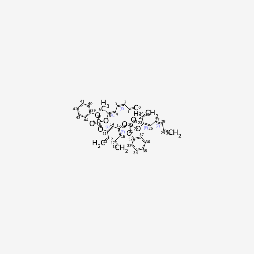 C=C/C=C\C=C(/C)OP(=O)(O/C(C=C)=C/C(=C\C=C)OP(=O)(O/C(C=C)=C/C=C\C=C)Oc1ccccc1)Oc1ccccc1